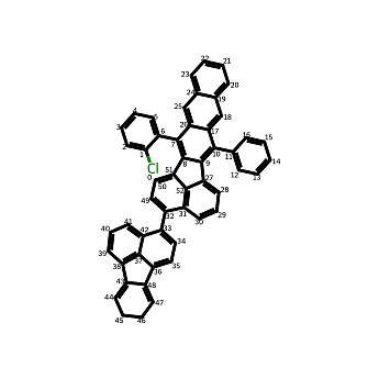 Clc1ccccc1-c1c2c(c(-c3ccccc3)c3cc4ccccc4cc13)-c1cccc3c(-c4ccc5c6c(cccc46)C4=CCCC=C45)ccc-2c13